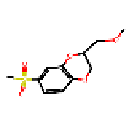 COCC1COc2ccc(S(C)(=O)=O)cc2O1